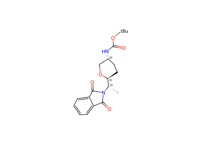 C[C@@H]([C@@H]1CC[C@@H](NC(=O)OC(C)(C)C)CO1)N1C(=O)c2ccccc2C1=O